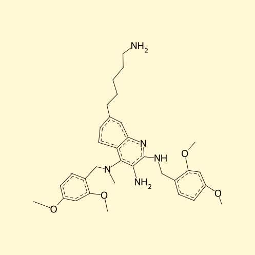 COc1ccc(CNc2nc3cc(CCCCCN)ccc3c(N(C)Cc3ccc(OC)cc3OC)c2N)c(OC)c1